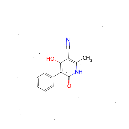 Cc1[nH]c(=O)c(-c2ccccc2)c(O)c1C#N